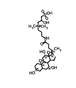 C[C@@H](CCC(=O)NCCC[N+](C)(C)CC(O)CS(=O)(=O)O)[C@@H]1CCC2C3C(C[C@H](O)[C@@]21C)[C@@]1(C)CC[C@@H](O)CC1C[C@H]3O